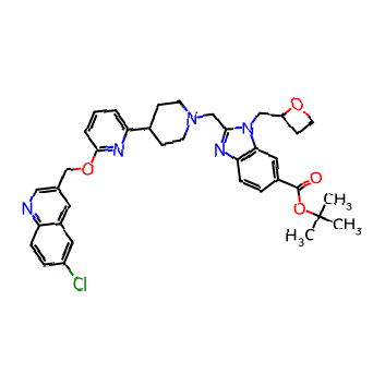 CC(C)(C)OC(=O)c1ccc2nc(CN3CCC(c4cccc(OCc5cnc6ccc(Cl)cc6c5)n4)CC3)n(CC3CCO3)c2c1